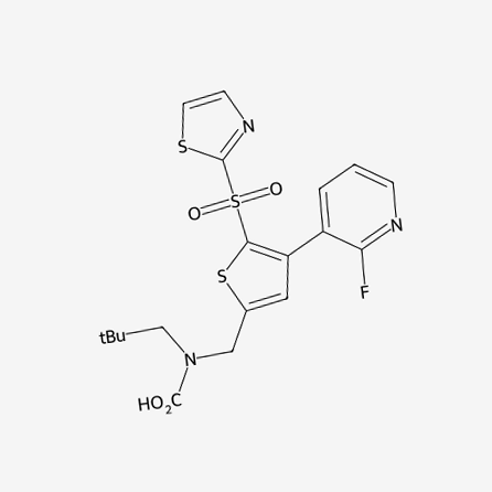 CC(C)(C)CN(Cc1cc(-c2cccnc2F)c(S(=O)(=O)c2nccs2)s1)C(=O)O